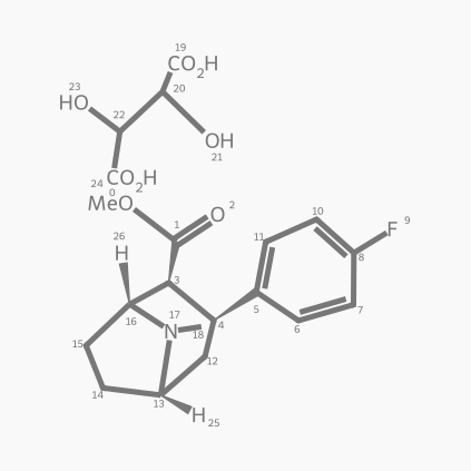 COC(=O)[C@H]1[C@@H](c2ccc(F)cc2)C[C@@H]2CC[C@H]1N2C.O=C(O)C(O)C(O)C(=O)O